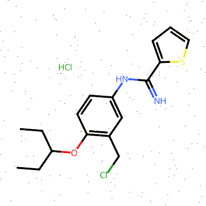 CCC(CC)Oc1ccc(NC(=N)c2cccs2)cc1CCl.Cl